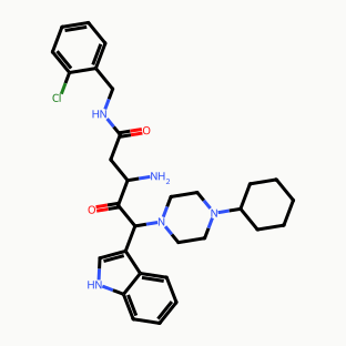 NC(CC(=O)NCc1ccccc1Cl)C(=O)C(c1c[nH]c2ccccc12)N1CCN(C2CCCCC2)CC1